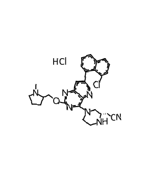 CN1CCCC1COc1nc(N2CCN[C@@H](CC#N)C2)c2ncc(-c3cccc4cccc(Cl)c34)cc2n1.Cl